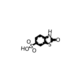 O=c1[nH]c2ccc(S(=O)(=O)O)cc2s1